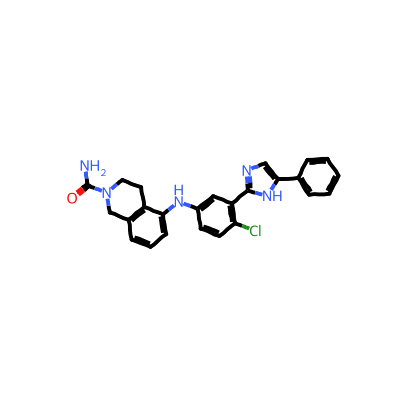 NC(=O)N1CCc2c(cccc2Nc2ccc(Cl)c(-c3ncc(-c4ccccc4)[nH]3)c2)C1